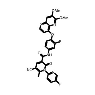 COc1cc2nccc(Oc3ccc(NC(=O)c4cc(C#N)c(C)n(-c5ccc(F)cn5)c4=O)cc3F)c2nc1OC